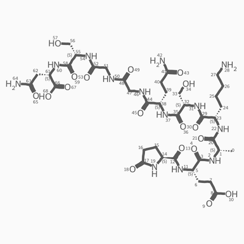 C[C@H](NC(=O)[C@H](CCC(=O)O)NC(=O)[C@@H]1CCC(=O)N1)C(=O)N[C@@H](CCCCN)C(=O)N[C@@H](CO)C(=O)N[C@@H](CCC(N)=O)C(=O)NCC(=O)NCC(=O)N[C@@H](CO)C(=O)N[C@@H](CC(N)=O)C(=O)O